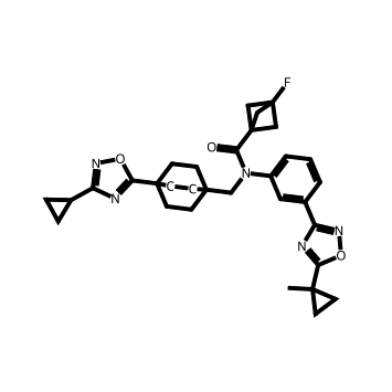 CC1(c2nc(-c3cccc(N(CC45CCC(c6nc(C7CC7)no6)(CC4)CC5)C(=O)C45CC(F)(C4)C5)c3)no2)CC1